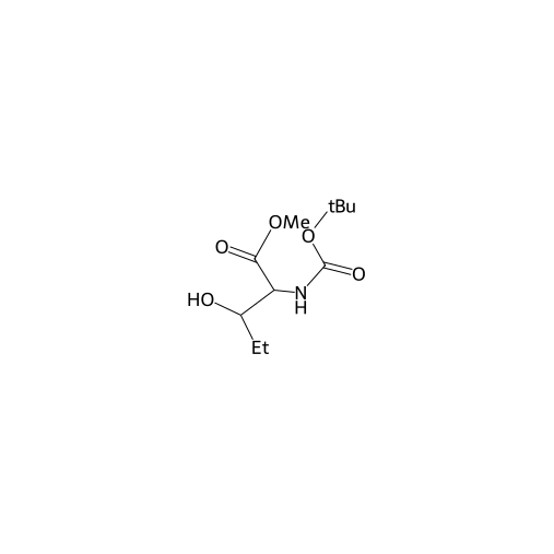 CCC(O)C(NC(=O)OC(C)(C)C)C(=O)OC